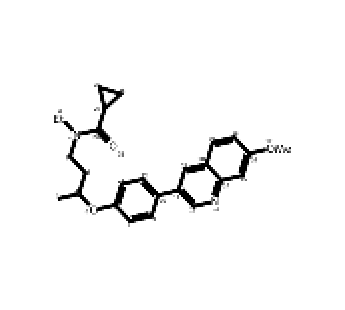 CCN(CCC(C)Oc1ccc(-c2cnc3cc(OC)ccc3c2)cc1)C(=O)C1CC1